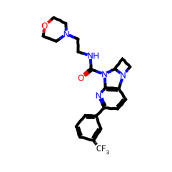 O=C(NCCN1CCOCC1)N1c2nc(-c3cccc(C(F)(F)F)c3)ccc2N2CCC21